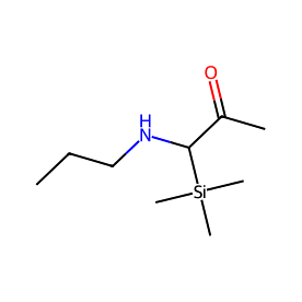 CCCNC(C(C)=O)[Si](C)(C)C